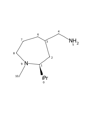 CC(C)[C@@H]1CC(CN)CCCN1C